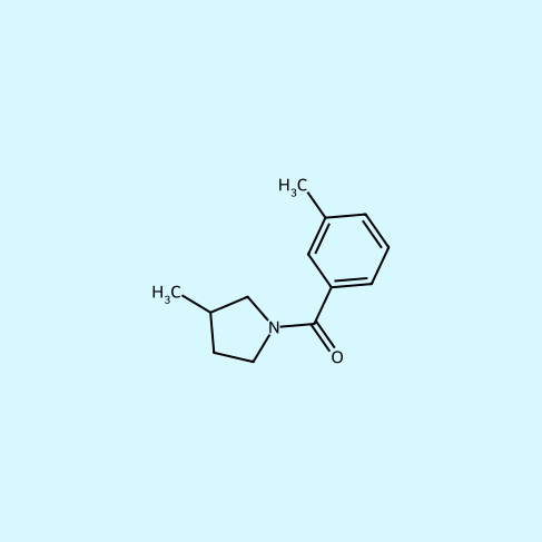 Cc1cccc(C(=O)N2CCC(C)C2)c1